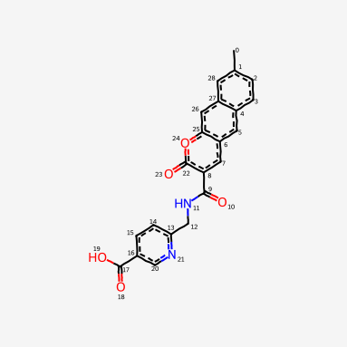 Cc1ccc2cc3cc(C(=O)NCc4ccc(C(=O)O)cn4)c(=O)oc3cc2c1